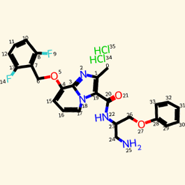 Cc1nc2c(OCc3c(F)cccc3F)cccn2c1C(=O)NC(CN)COc1ccccc1.Cl.Cl